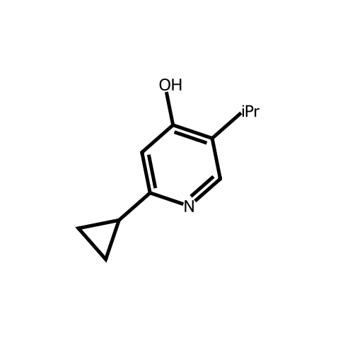 CC(C)c1cnc(C2CC2)cc1O